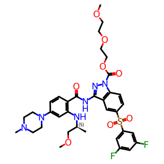 COCCOCCOC(=O)n1nc(NC(=O)c2ccc(N3CCN(C)CC3)cc2N[C@@H](C)COC)c2cc(S(=O)(=O)c3cc(F)cc(F)c3)ccc21